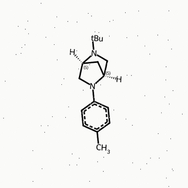 Cc1ccc(N2C[C@@H]3C[C@H]2CN3C(C)(C)C)cc1